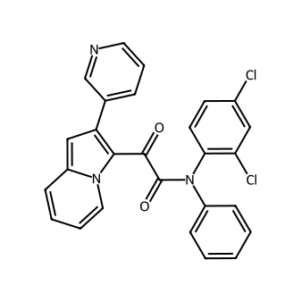 O=C(C(=O)N(c1ccccc1)c1ccc(Cl)cc1Cl)c1c(-c2cccnc2)cc2ccccn12